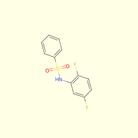 O=S(=O)(Nc1cc(F)ccc1F)c1ccccc1